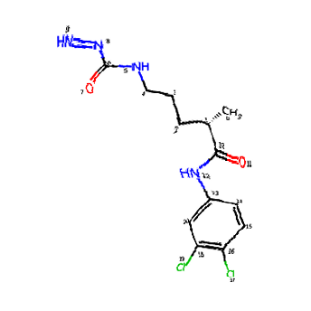 C[C@@H](CCCNC(=O)N=N)C(=O)Nc1ccc(Cl)c(Cl)c1